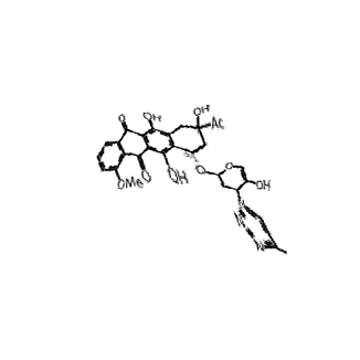 COc1cccc2c1C(=O)c1c(O)c3c(c(O)c1C2=O)CC(O)(C(C)=O)C[C@@H]3OC1CC(n2cc(C)nn2)C(O)=CO1